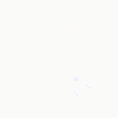 CC1(C)c2ccccc2-c2ccc(-c3nc(-c4ccccc4)nc(-c4cccc(-c5ccc6c(c5)Oc5cc7c(cc5O6)-c5ccccc5C7(c5ccccc5)c5ccccc5)c4)n3)cc21